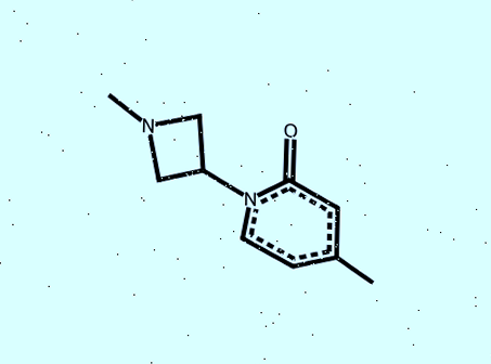 Cc1ccn(C2CN(C)C2)c(=O)c1